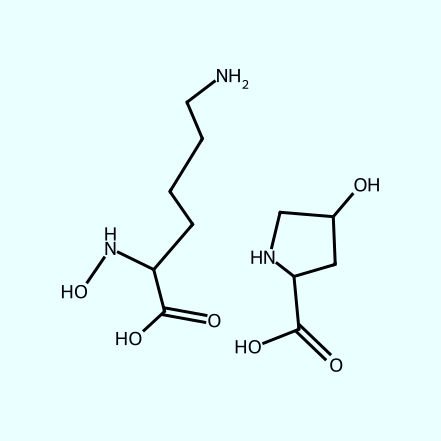 NCCCCC(NO)C(=O)O.O=C(O)C1CC(O)CN1